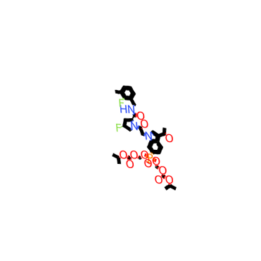 CC(=O)c1cn(CC(=O)N2C[C@H](F)C[C@H]2C(=O)NCc2cccc(C)c2F)c2cc(P(=O)(OCOC(=O)OC(C)C)OCOC(=O)OC(C)C)ccc12